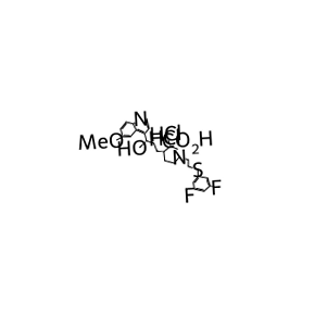 COc1ccc2nccc([C@H](O)CC[C@@H]3CCN(CCSc4cc(F)cc(F)c4)C[C@@H]3C(=O)O)c2c1.Cl.Cl